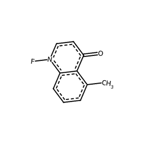 Cc1cccc2c1c(=O)ccn2F